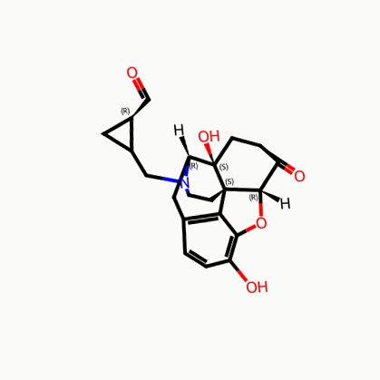 O=C[C@@H]1CC1CN1CC[C@]23c4c5ccc(O)c4O[C@H]2C(=O)CC[C@@]3(O)[C@H]1C5